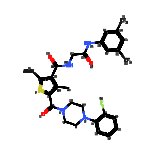 CNc1sc(C(=O)N2CCN(c3ccccc3F)CC2)c(C)c1C(=O)NCC(=O)Nc1cc(C(F)(F)F)cc(C(F)(F)F)c1